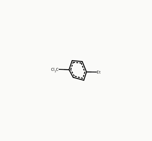 [CH2]Cc1ccc(C(Cl)(Cl)Cl)cc1